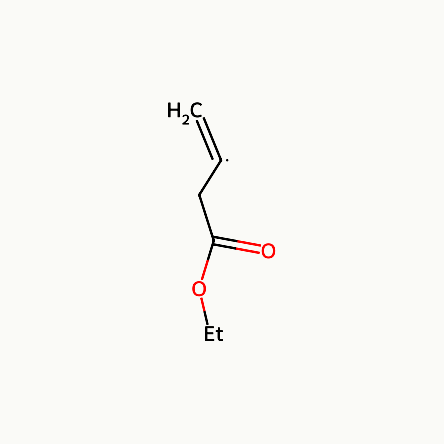 C=[C]CC(=O)OCC